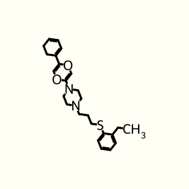 CCc1ccccc1SCCCN1CCN(C2=COC(C3=CC=CCC3)=CO2)CC1